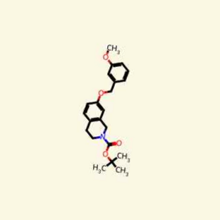 COc1cccc(COc2ccc3c(c2)CN(C(=O)OC(C)(C)C)CC3)c1